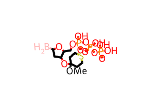 BC1CC(OC2(OC)CCSCC2)C(COP(=O)(O)OP(=O)(O)OP(=O)(O)O)O1